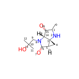 CC1N[C@]23C[C@H]2C(=O)N(CC(C)(C)O)[C@@H]3C1=O